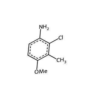 COc1ccc(N)c(Cl)c1C